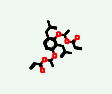 C=CC(=O)OC(C)Oc1ccc(CC(=C)C)c(OC(C)OC(=O)C=C)c1CC(=C)C